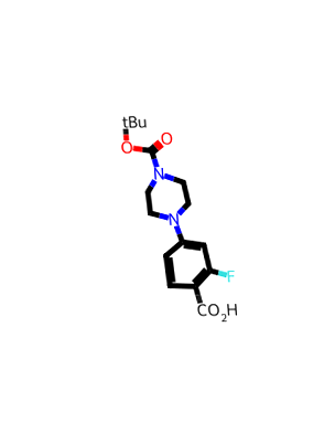 CC(C)(C)OC(=O)N1CCN(c2ccc(C(=O)O)c(F)c2)CC1